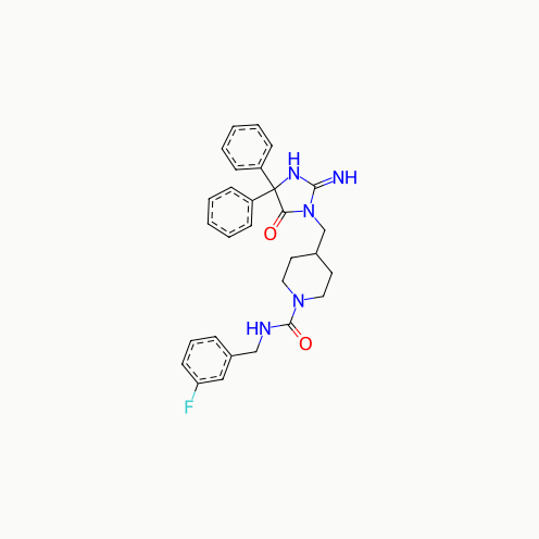 N=C1NC(c2ccccc2)(c2ccccc2)C(=O)N1CC1CCN(C(=O)NCc2cccc(F)c2)CC1